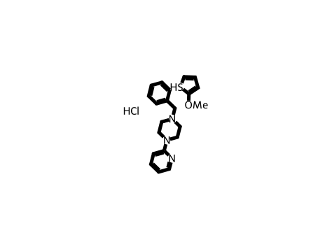 COC1=CC=C[SH]1c1ccccc1CN1CCN(c2ccccn2)CC1.Cl